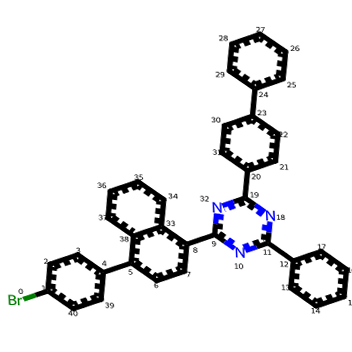 Brc1ccc(-c2ccc(-c3nc(-c4ccccc4)nc(-c4ccc(-c5ccccc5)cc4)n3)c3ccccc23)cc1